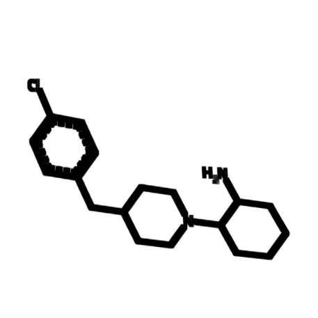 NC1CCCCC1N1CCC(Cc2ccc(Cl)cc2)CC1